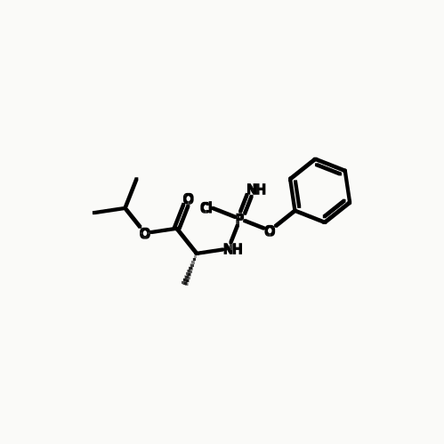 CC(C)OC(=O)[C@@H](C)NP(=N)(Cl)Oc1ccccc1